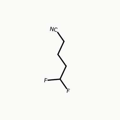 N#CCCCC(F)F